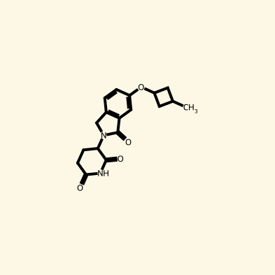 CC1CC(Oc2ccc3c(c2)C(=O)N(C2CCC(=O)NC2=O)C3)C1